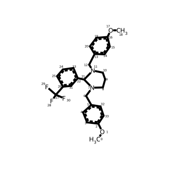 COc1ccc(CN2CCCN(Cc3ccc(OC)cc3)C2c2cccc(C(F)(F)F)c2)cc1